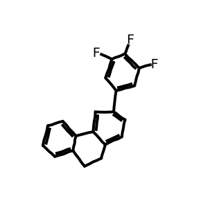 Fc1cc(-c2ccc3c(c2)-c2ccccc2CC3)cc(F)c1F